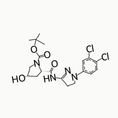 CC(C)(C)OC(=O)N1C[C@@H](O)C[C@H]1C(=O)NC1=NN(c2ccc(Cl)c(Cl)c2)CC1